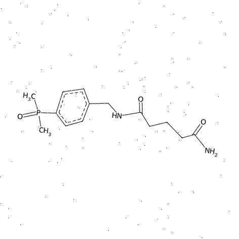 CP(C)(=O)c1ccc(CNC(=O)CCCC(N)=O)cc1